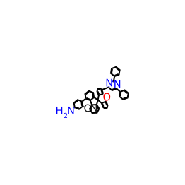 N#Cc1cc(N)ccc1-c1cccc2c1-c1ccccc1C21c2ccccc2Oc2c(-c3cc(-c4ccccc4)nc(-c4ccccc4)n3)cccc21